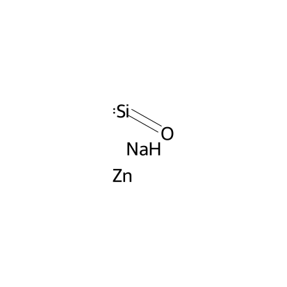 O=[Si].[NaH].[Zn]